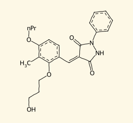 CCCOc1ccc(/C=C2/C(=O)NN(c3ccccc3)C2=O)c(OCCCO)c1C